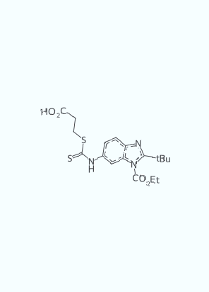 CCOC(=O)n1c(C(C)(C)C)nc2ccc(NC(=S)SCCC(=O)O)cc21